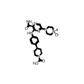 C[N+]1([O-])CCN(c2cnc(C(N)=O)c(Nc3ccc(C4CCN(C(=O)O)CC4)cc3)n2)CC1